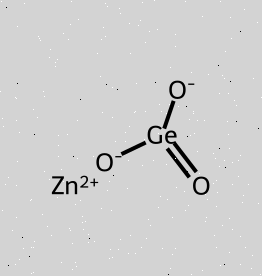 [O]=[Ge]([O-])[O-].[Zn+2]